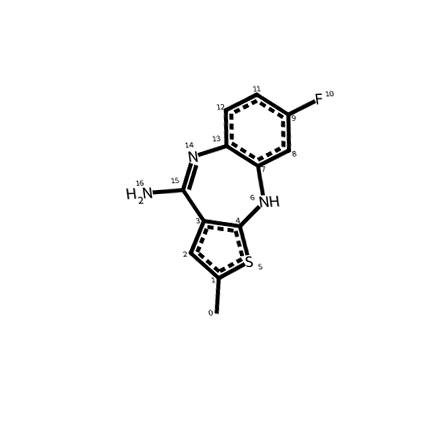 Cc1cc2c(s1)Nc1cc(F)ccc1N=C2N